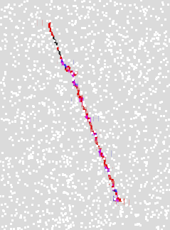 O=C(O)CCCCCCCCCCCCCCCCCCC(=O)NC[C@H]1CC[C@H](C(=O)N[C@@H](CCC(=O)NCCOCCOCC(=O)NCCOCCOCC(=O)NCCOCCOCC(=O)NCCOCCOCC(=O)NCCOCCOCC(=O)NCCOCCOCC(=O)NCCCC[C@H](NS)C(=O)O)C(=O)O)CC1